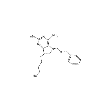 CCCCc1nc(N)c2c(n1)c(CCCCO)cn2COCc1ccccc1